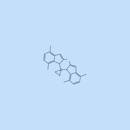 CC1=Cc2c(C)ccc(C)c2[CH]1[Zr]1([CH]2C(C)=Cc3c(C)ccc(C)c32)[CH2][CH2]1